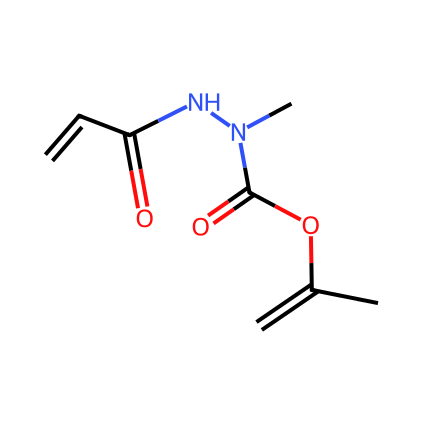 C=CC(=O)NN(C)C(=O)OC(=C)C